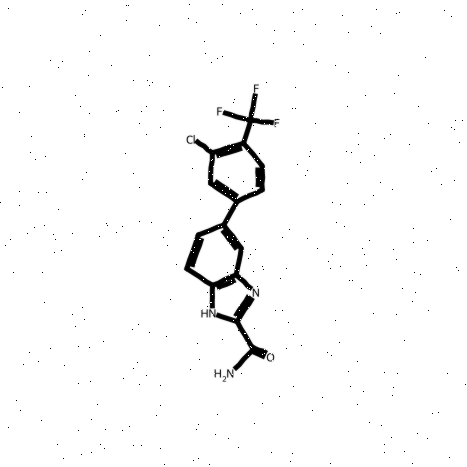 NC(=O)c1nc2cc(-c3ccc(C(F)(F)F)c(Cl)c3)ccc2[nH]1